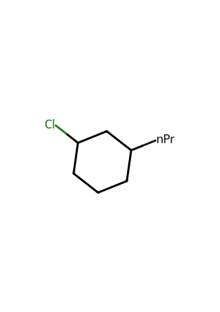 [CH2]CCC1CCCC(Cl)C1